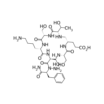 CC(O)[C@H](NC[C@H](CCC(=O)O)NC(=O)[C@@H](N)CO)C(=O)N[C@@H](CO)C(=O)N[C@@H](CCCCN)C(=O)N[C@@H](CO)C(=O)N(N)[C@@H](Cc1ccccc1)C(N)=O